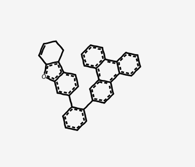 C1=Cc2oc3cc(-c4ccccc4-c4ccc5c6ccccc6c6ccccc6c5c4)ccc3c2CC1